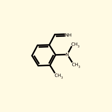 Cc1cccc(C=N)c1N(C)C